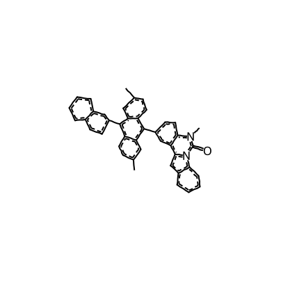 Cc1ccc2c(-c3ccc4c(c3)c3cc5ccccc5n3c(=O)n4C)c3cc(C)ccc3c(-c3ccc4ccccc4c3)c2c1